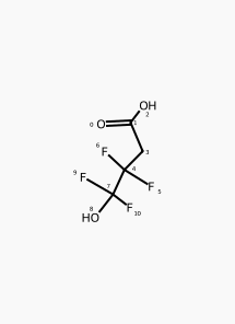 O=C(O)CC(F)(F)C(O)(F)F